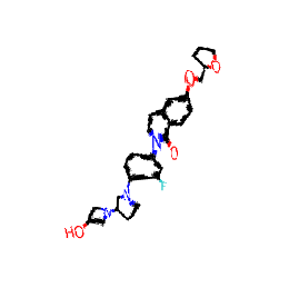 O=c1c2ccc(OC[C@H]3CCCO3)cc2ccn1-c1ccc(N2CCC(N3CC(O)C3)C2)c(F)c1